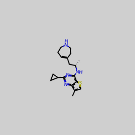 Cc1csc2c(N[C@@H](C)CC3=CCCNCC3)nc(C3CC3)nc12